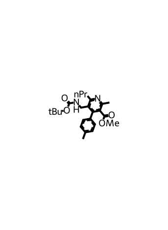 CCCc1nc(C)c(C(=O)OC)c(-c2ccc(C)cc2)c1CNC(=O)OC(C)(C)C